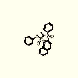 CC(P(=O)(Oc1ccccc1)Oc1ccccc1)P(=O)(c1ccccc1)c1ccccc1